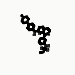 C=CS(=O)(=O)Nc1cccc(-c2nccc3cnc(Nc4ccc(N5CCN(C)CC5)cc4)nc23)c1